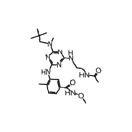 CONC(=O)c1ccc(C)c(Nc2nc(NCCNC(C)=O)nc(N(C)CC(C)(C)C)n2)c1